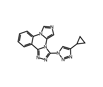 c1ccc2c(c1)c1nnc(-n3cc(C4CC4)nn3)n1c1cncn21